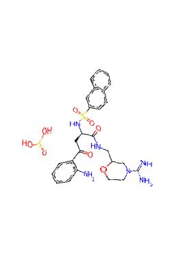 N=C(N)N1CCOC(CNC(=O)[C@@H](CC(=O)c2ccccc2N)NS(=O)(=O)c2ccc3ccccc3c2)C1.O=S(O)O